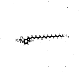 CCCCCCCCCCCCCCCCCc1cc2cc(OC(=O)O)ccc2[nH]1